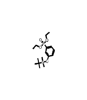 CCOP(=O)(OCC)c1cccc(O[Si](C)(C)C(C)(C)C)c1